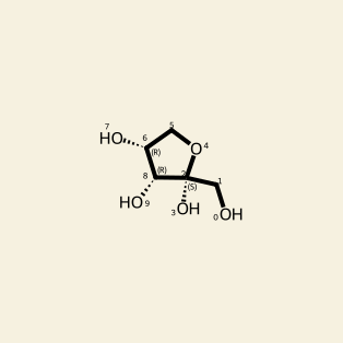 OC[C@]1(O)OC[C@@H](O)[C@H]1O